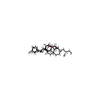 CC[C@H](F)CN1CCC23CCN(CCn4cc(C)cn4)CCC2(O)C1Cc1ccc(O)cc13